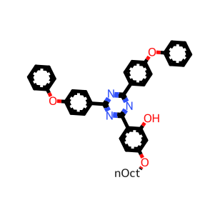 CCCCCCCCOc1ccc(-c2nc(-c3ccc(Oc4ccccc4)cc3)nc(-c3ccc(Oc4ccccc4)cc3)n2)c(O)c1